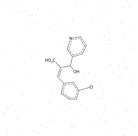 O=C(O)C(=Cc1cccc(Cl)c1)C(O)c1cccnc1